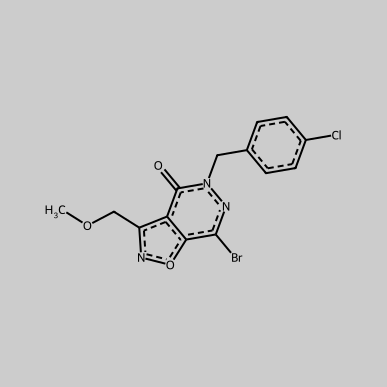 COCc1noc2c(Br)nn(Cc3ccc(Cl)cc3)c(=O)c12